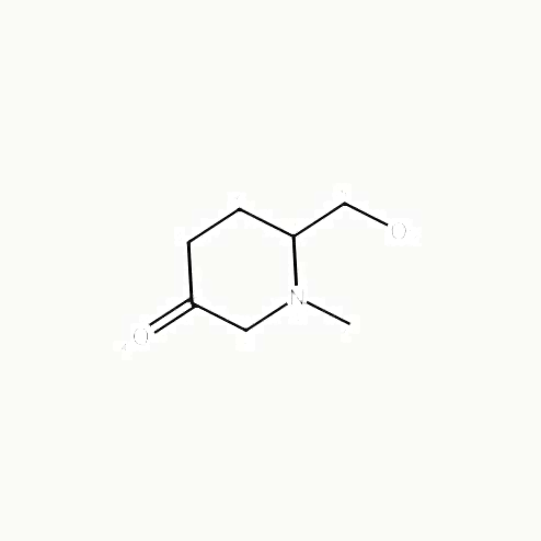 CN1CC(=O)CCC1C[O]